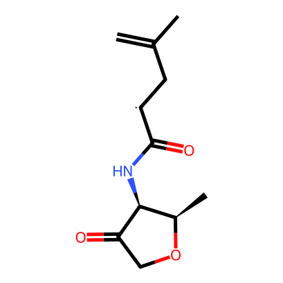 C=C(C)C[CH]C(=O)N[C@@H]1C(=O)CO[C@@H]1C